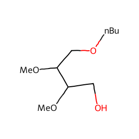 CCCCOCC(OC)C(CO)OC